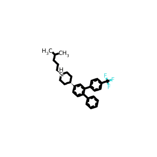 CC(C)CCC[Si@H]1CC[C@H](c2ccc(-c3ccccc3)c(-c3ccc(C(F)(F)F)cc3)c2)CC1